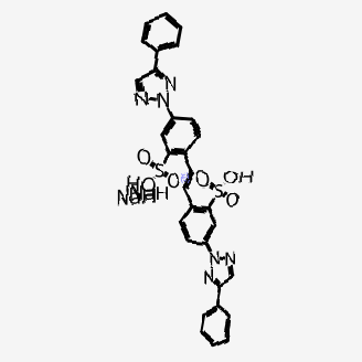 O=S(=O)(O)c1cc(-n2ncc(-c3ccccc3)n2)ccc1/C=C/c1ccc(-n2ncc(-c3ccccc3)n2)cc1S(=O)(=O)O.[NaH].[NaH]